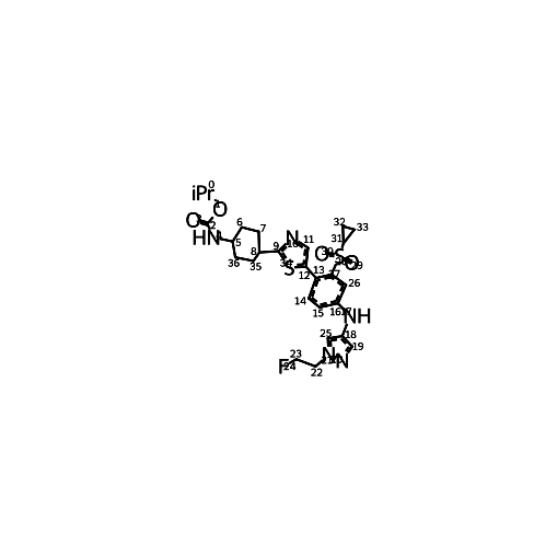 CC(C)OC(=O)NC1CCC(c2ncc(-c3ccc(Nc4cnn(CCF)c4)cc3S(=O)(=O)C3CC3)s2)CC1